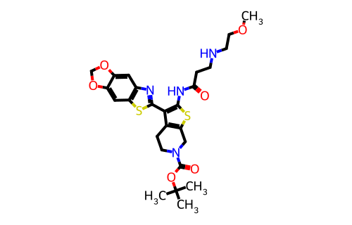 COCCNCCC(=O)Nc1sc2c(c1-c1nc3cc4c(cc3s1)OCO4)CCN(C(=O)OC(C)(C)C)C2